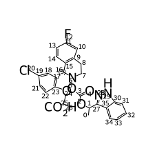 CC(OC(=O)ON1CCc2cc(F)ccc2[C@H]1c1cc(Cl)ccc1OCC(=O)O)c1n[nH]c2ccccc12